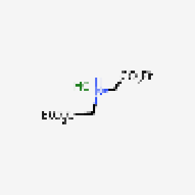 CCOC(=O)CNCC(=O)OCC.Cl